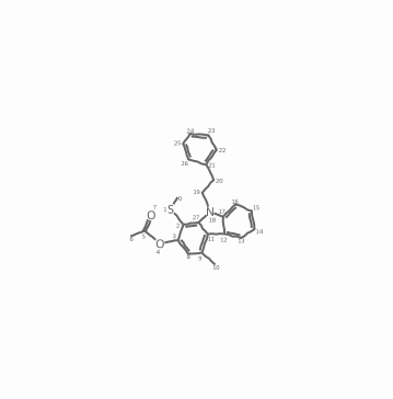 CSc1c(OC(C)=O)cc(C)c2c3ccccc3n(CCc3ccccc3)c12